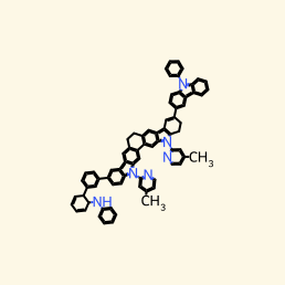 Cc1ccnc(-n2c3c(c4cc5c(cc42)-c2cc4c(cc2CC5)c2cc(-c5cccc(C6C=CC=CC6Nc6ccccc6)c5)ccc2n4-c2cc(C)ccn2)C=C(c2ccc4c(c2)c2ccccc2n4-c2ccccc2)CC3)c1